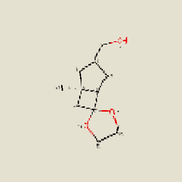 OCC1CC2[C@H](C1)CC21OCCO1